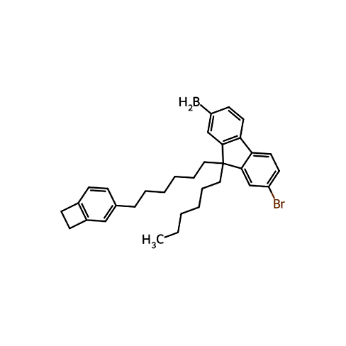 Bc1ccc2c(c1)C(CCCCCC)(CCCCCCc1ccc3c(c1)CC3)c1cc(Br)ccc1-2